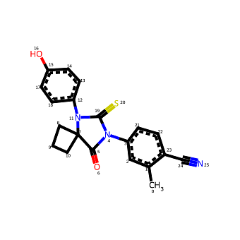 Cc1cc(N2C(=O)C3(CCC3)N(c3ccc(O)cc3)C2=S)ccc1C#N